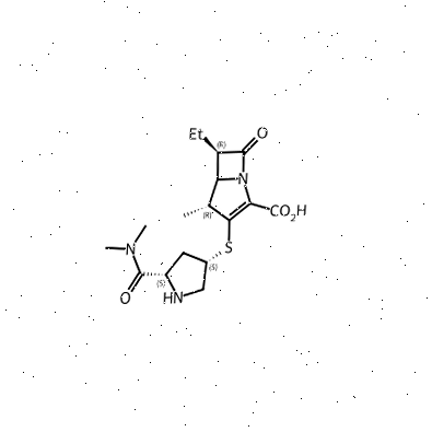 CC[C@H]1C(=O)N2C(C(=O)O)=C(S[C@@H]3CN[C@H](C(=O)N(C)C)C3)[C@H](C)C12